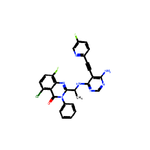 CC(Nc1ncnc(N)c1C#Cc1ccc(F)cn1)c1nc2c(F)ccc(Cl)c2c(=O)n1-c1ccccc1